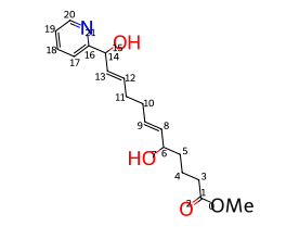 COC(=O)CCCC(O)C=CCCC=CC(O)c1ccccn1